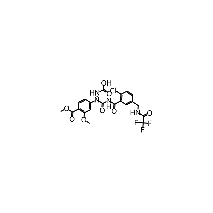 COC(=O)c1ccc(N(NC(=O)O)C(=O)NC(=O)c2cc(CNC(=O)C(F)(F)F)ccc2Cl)cc1OC